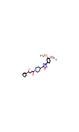 COc1ccc(-c2noc(C3CCN(C(=O)/C=C/C(=O)c4ccccc4)CC3)n2)cc1OC